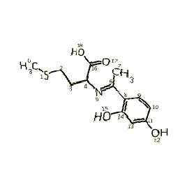 CSCCC(N=C(C)c1ccc(O)cc1O)C(=O)O